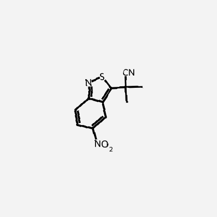 CC(C)(C#N)c1snc2ccc([N+](=O)[O-])cc12